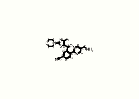 Cc1nc(N2CCOCC2)sc1C(=O)c1cc(C#N)ccc1-c1ncc(CN)cn1